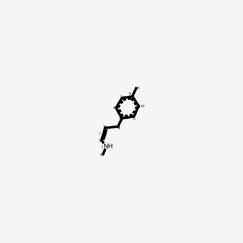 CN/C=C\Cc1ccc(C)cc1